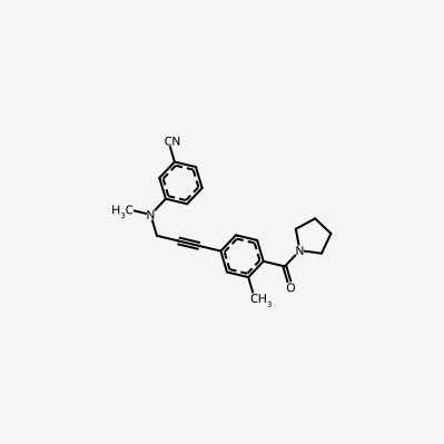 Cc1cc(C#CCN(C)c2cccc(C#N)c2)ccc1C(=O)N1CCCC1